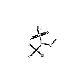 CON(C(Cl)(Cl)Cl)S(N)(=O)=S